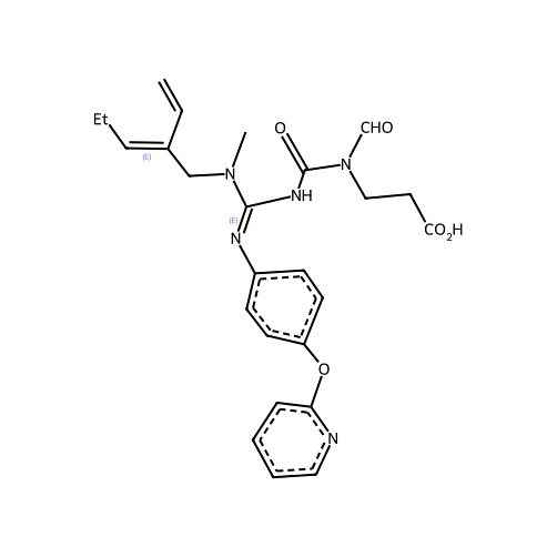 C=C/C(=C\CC)CN(C)/C(=N/c1ccc(Oc2ccccn2)cc1)NC(=O)N(C=O)CCC(=O)O